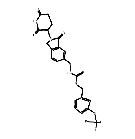 O=C1CCC(N2Cc3ccc(CNC(=O)OCc4cccc(SC(F)(F)F)c4)cc3C2=O)C(=O)N1